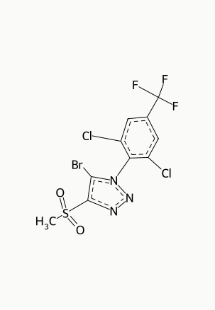 CS(=O)(=O)c1nnn(-c2c(Cl)cc(C(F)(F)F)cc2Cl)c1Br